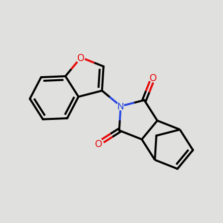 O=C1C2C3C=CC(C3)C2C(=O)N1c1coc2ccccc12